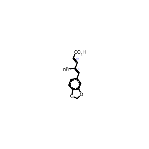 CCCC(/C=C/C(=O)O)=C\c1ccc2c(c1)OCO2